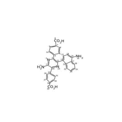 Nc1nc(-c2ccc(C(=O)O)cc2)c(-c2ccc(N)c3ccccc23)nc1-c1ccc(C(=O)O)cc1